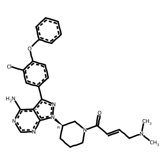 CN(C)CC=CC(=O)N1CCC[C@@H](n2nc(-c3ccc(Oc4ccccc4)c(Cl)c3)c3c(N)ncnc32)C1